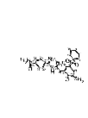 Cc1c(S(=O)(=O)c2ccccc2)cn(N)c(=O)c1CC(=O)NC(=N)c1ccc(C(N)=O)cc1